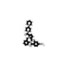 Nc1ccc(C(=O)N2Cc3ccc(C(=O)N4CCC(N5CCCCC5)CC4)n3Cc3ccccc32)c(Cl)c1